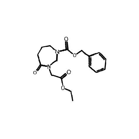 CCOC(=O)CN1CN(C(=O)OCc2ccccc2)CCCC1=O